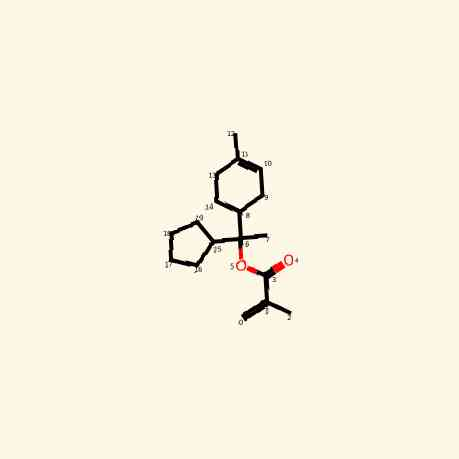 C=C(C)C(=O)OC(C)(C1CC=C(C)CC1)C1CCCC1